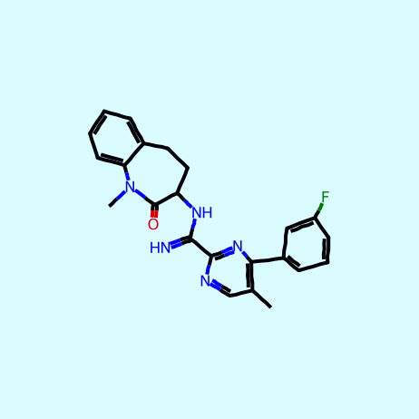 Cc1cnc(C(=N)NC2CCc3ccccc3N(C)C2=O)nc1-c1cccc(F)c1